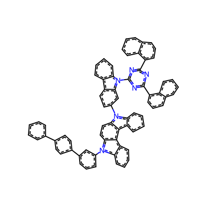 c1ccc(-c2ccc(-c3cccc(-n4c5ccccc5c5c6c7ccccc7n(-c7ccc8c9ccccc9n(-c9nc(-c%10cccc%11ccccc%10%11)nc(-c%10cccc%11ccccc%10%11)n9)c8c7)c6ccc54)c3)cc2)cc1